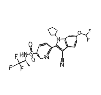 C[C@H](NS(=O)(=O)c1ccc(-c2c(C#N)c3ccc(OC(F)F)cc3n2C2CCCC2)nc1)C(F)(F)F